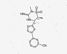 C[C@H]1[C@@](C)(c2cc(-c3cccc(C#N)c3)cs2)NC(=N)N(C)S1(=O)=O